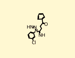 N=NN(C(=N)CCC(=O)c1ccccc1)c1cccc(Cl)c1